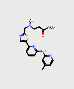 COC(=O)CCN(Cc1ncc(-c2cccc(Nc3cc(C)ccn3)n2)s1)C(C)=O